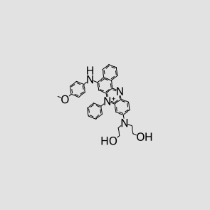 COc1ccc(Nc2cc3c(nc4ccc(N(CCO)CCO)cc4[n+]3-c3ccccc3)c3ccccc23)cc1